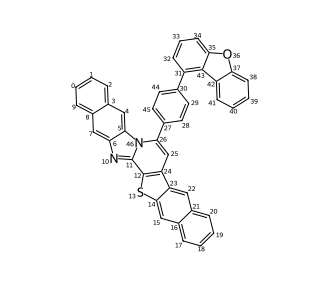 c1ccc2cc3c(cc2c1)nc1c2sc4cc5ccccc5cc4c2cc(-c2ccc(-c4cccc5oc6ccccc6c45)cc2)n31